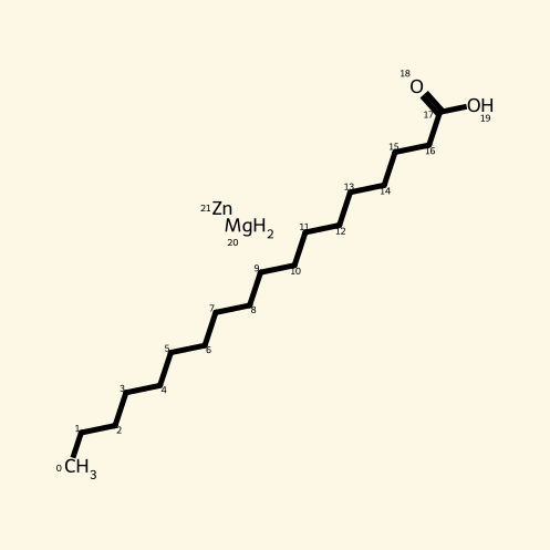 CCCCCCCCCCCCCCCCCC(=O)O.[MgH2].[Zn]